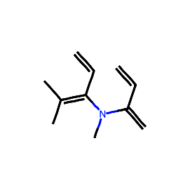 C=CC(=C)N(C)C(C=C)=C(C)C